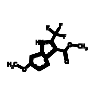 COC(=O)c1c(C(F)(F)F)[nH]c2cc(OC)ccc12